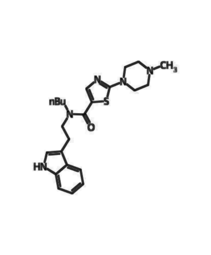 CCCCN(CCc1c[nH]c2ccccc12)C(=O)c1cnc(N2CCN(C)CC2)s1